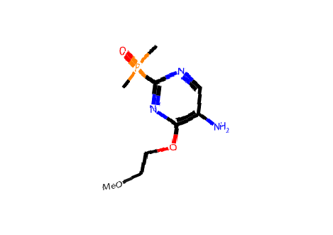 COCCOc1nc(P(C)(C)=O)ncc1N